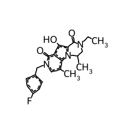 CCN1CC(C)n2c(c(O)c3c(=O)n(Cc4ccc(F)cc4)cc(C)c32)C1=O